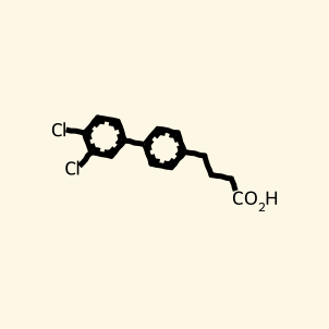 O=C(O)CCCc1ccc(-c2ccc(Cl)c(Cl)c2)cc1